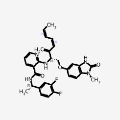 C=C(/C=C\C=C/C)[C@H](COc1ccc2c(c1)[nH]c(=O)n2C)Nc1ncccc1C(=O)N[C@@H](C)c1ccc(F)c(F)c1